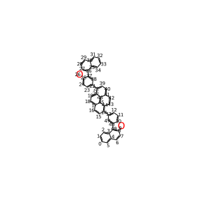 c1ccc2c(c1)ccc1oc3ccc(-c4ccc5ccc6c(-c7ccc8oc9ccc%10ccccc%10c9c8c7)ccc7ccc4c5c76)cc3c12